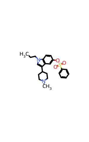 CCCn1cc(C2CCN(C)CC2)c2cc(OS(=O)(=O)c3ccccc3)ccc21